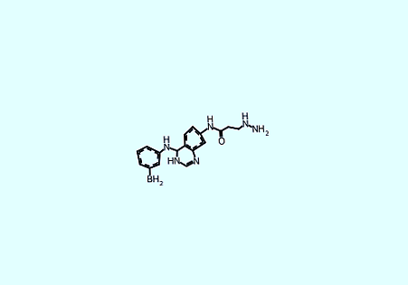 Bc1cccc(NC2NC=Nc3cc(NC(=O)CCNN)ccc32)c1